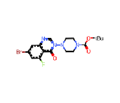 CC(C)(C)OC(=O)N1CCN(n2cnc3cc(Br)cc(F)c3c2=O)CC1